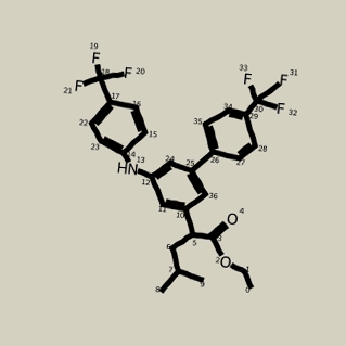 CCOC(=O)C(CC(C)C)c1cc(Nc2ccc(C(F)(F)F)cc2)cc(-c2ccc(C(F)(F)F)cc2)c1